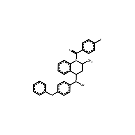 CC(=O)N(c1ccc(Oc2ccccc2)cc1)C1CC(C)N(C(=O)c2ccc(F)cc2)c2ccccc21